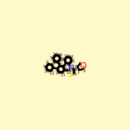 C1CCOC1.c1ccc(-c2ccc(-c3nccs3)c(-c3ccccc3)c2-c2ccccc2)cc1